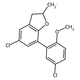 [CH2]C1Cc2cc(Cl)cc(-c3cc(Cl)ccc3OC)c2O1